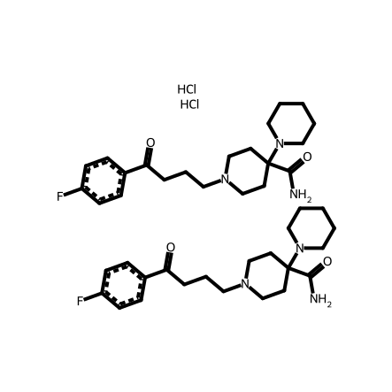 Cl.Cl.NC(=O)C1(N2CCCCC2)CCN(CCCC(=O)c2ccc(F)cc2)CC1.NC(=O)C1(N2CCCCC2)CCN(CCCC(=O)c2ccc(F)cc2)CC1